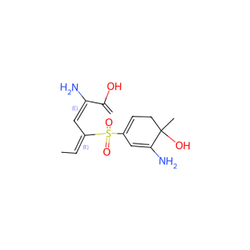 C=C(O)/C(N)=C\C(=C/C)S(=O)(=O)C1=CCC(C)(O)C(N)=C1